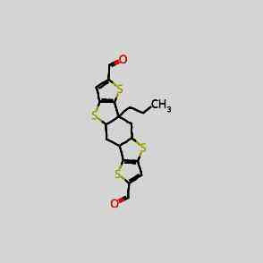 CCCC12CC3Sc4cc(C=O)sc4C3CC1Sc1cc(C=O)sc12